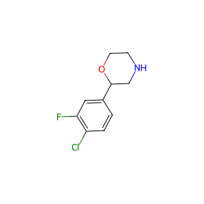 Fc1cc(C2CNCCO2)ccc1Cl